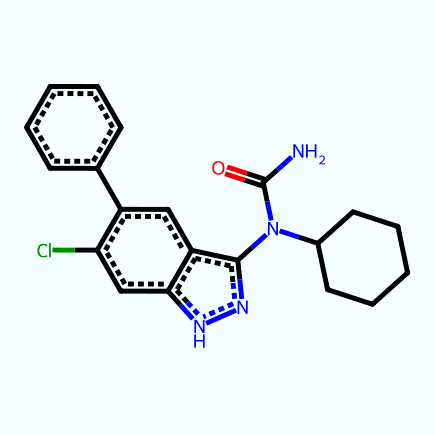 NC(=O)N(c1n[nH]c2cc(Cl)c(-c3ccccc3)cc12)C1CCCCC1